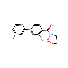 O=C(c1ccc(-c2[c]ccc(Cl)c2)cc1Cl)N1CCCO1